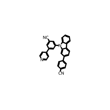 N#Cc1ccc(-c2ccc3c4ccccc4n(-c4cc(C#N)cc(-c5ccncc5)c4)c3c2)cc1